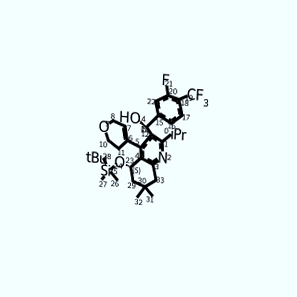 CC(C)c1nc2c(c(C3=CCOCC3)c1[C@@H](O)c1ccc(C(F)(F)F)c(F)c1)[C@@H](O[Si](C)(C)C(C)(C)C)CC(C)(C)C2